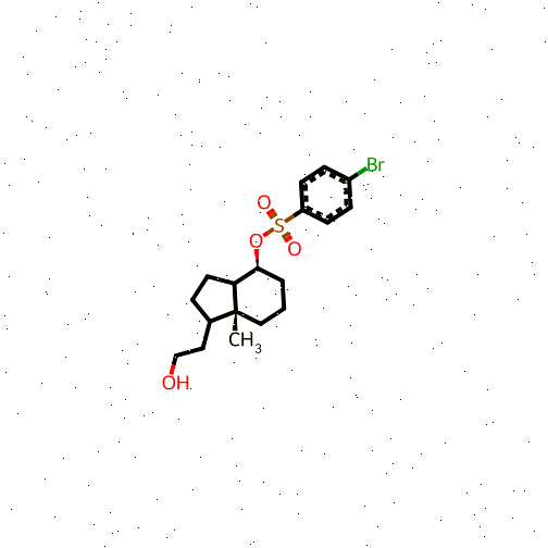 C[C@]12CCC[C@H](OS(=O)(=O)c3ccc(Br)cc3)C1CCC2CCO